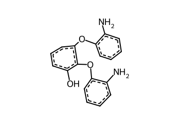 Nc1ccccc1Oc1cccc(O)c1Oc1ccccc1N